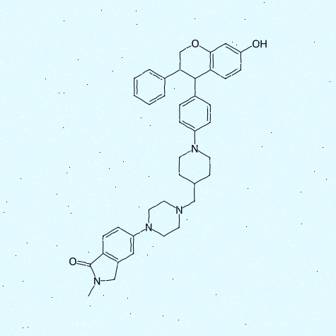 CN1Cc2cc(N3CCN(CC4CCN(c5ccc(C6c7ccc(O)cc7OCC6c6ccccc6)cc5)CC4)CC3)ccc2C1=O